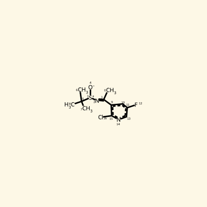 CC(=N[S+]([O-])C(C)(C)C)c1cc(F)cnc1Cl